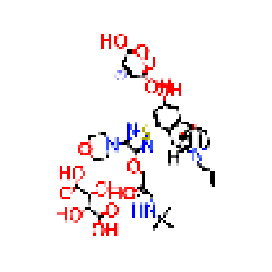 C=CCN1CC[C@]23CCCC[C@H]2[C@H]1Cc1ccc(O)cc13.CC(C)(C)NC[C@H](O)COc1nsnc1N1CCOCC1.O=C(O)/C=C\C(=O)O.O=C(O)C(O)C(O)C(=O)O